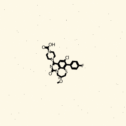 CO[C@H]1CSc2c(-c3ccc(F)cc3)c(Cl)cc3c(N4CCN(C(=O)O)CC4)nc(=O)n(c23)C1